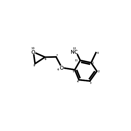 Cc1cccc(OCC2CO2)c1C#N